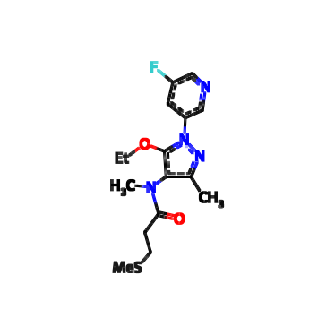 CCOc1c(N(C)C(=O)CCSC)c(C)nn1-c1cncc(F)c1